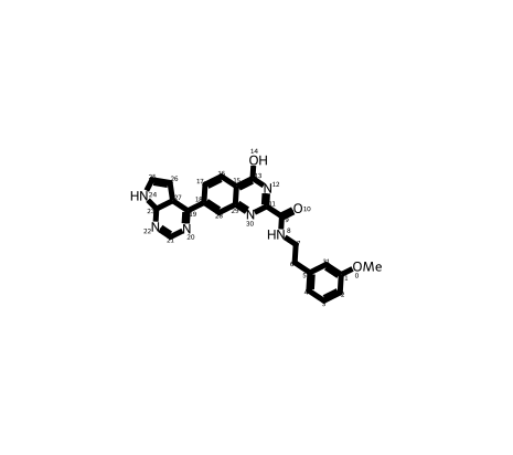 COc1cccc(CCNC(=O)c2nc(O)c3ccc(C4=NC=NC5NC=CC45)cc3n2)c1